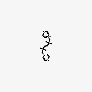 CC(C)(CCC(C)(C)C[n+]1ccncc1)C[n+]1ccncc1